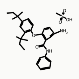 CCC(C)(C)c1ccc(Oc2ccc(N)cc2C(=O)Nc2ccccc2)c(C(C)(C)CC)c1.CS(=O)(=O)O